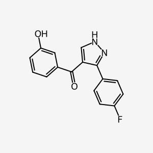 O=C(c1cccc(O)c1)c1c[nH]nc1-c1ccc(F)cc1